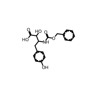 O=C(NC(Cc1ccc(O)cc1)C(O)C(=O)O)OCc1ccccc1